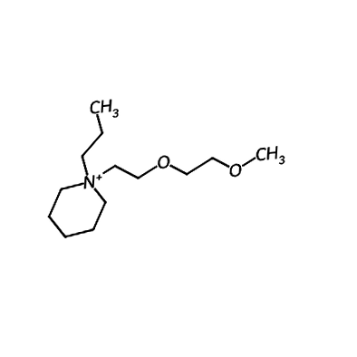 CCC[N+]1(CCOCCOC)CCCCC1